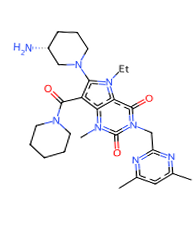 CCn1c(N2CCC[C@@H](N)C2)c(C(=O)N2CCCCC2)c2c1c(=O)n(Cc1nc(C)cc(C)n1)c(=O)n2C